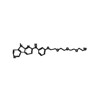 Cn1c2ccncc2c2ccc(Nc3cccc(OCCOCCOCCOCC[18F])c3)nc21